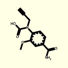 C#CCN(C(=O)O)c1ccc(C(N)=O)cc1OC